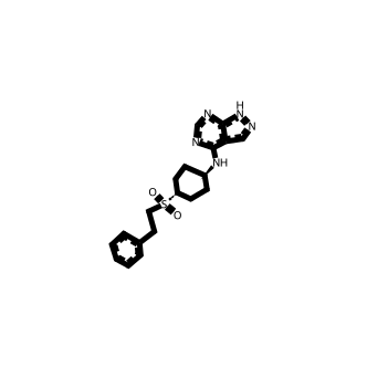 O=S(=O)(CCc1ccccc1)[C@H]1CC[C@H](Nc2ncnc3[nH]ncc23)CC1